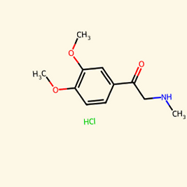 CNCC(=O)c1ccc(OC)c(OC)c1.Cl